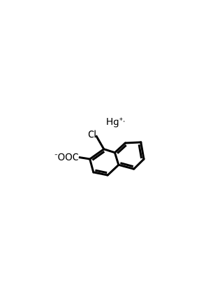 O=C([O-])c1ccc2ccccc2c1Cl.[Hg+]